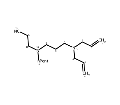 C=CCN(CC=C)CCCN(CCC#N)CCCCC